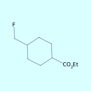 CCOC(=O)C1CCC(CF)CC1